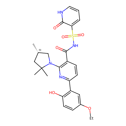 CCOc1ccc(O)c(-c2ccc(C(=O)NS(=O)(=O)c3ccc[nH]c3=O)c(N3C[C@@H](C)CC3(C)C)n2)c1